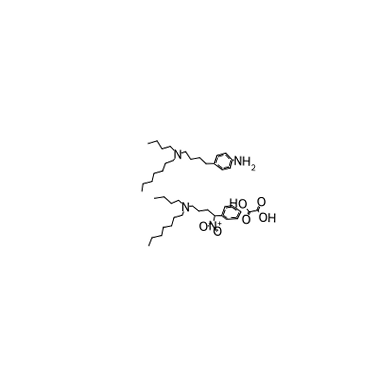 CCCCCCCN(CCCC)CCCC(c1ccccc1)[N+](=O)[O-].CCCCCCCN(CCCC)CCCCc1ccc(N)cc1.O=C(O)C(=O)O